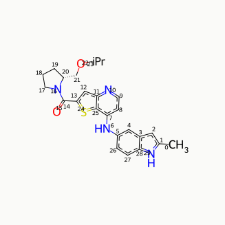 Cc1cc2cc(Nc3ccnc4cc(C(=O)N5CCC[C@@H]5COC(C)C)sc34)ccc2[nH]1